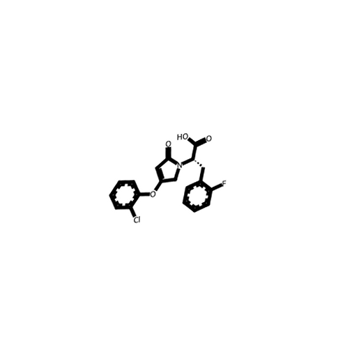 O=C(O)[C@H](Cc1ccccc1F)N1CC(Oc2ccccc2Cl)=CC1=O